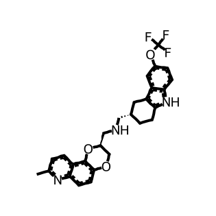 Cc1ccc2c3c(ccc2n1)OC[C@H](CNC[C@H]1CCc2[nH]c4ccc(OC(F)(F)F)cc4c2C1)O3